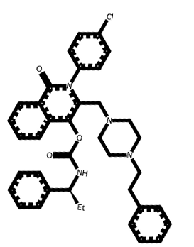 CC[C@H](NC(=O)Oc1c(CN2CCN(CCc3ccccc3)CC2)n(-c2ccc(Cl)cc2)c(=O)c2ccccc12)c1ccccc1